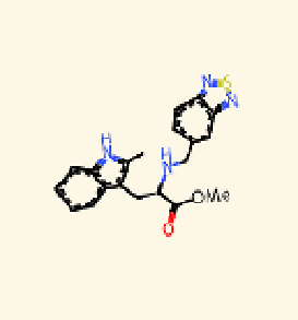 COC(=O)[C@@H](Cc1c(C)[nH]c2ccccc12)NCc1ccc2nsnc2c1